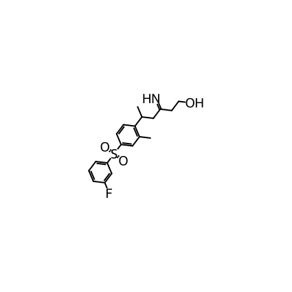 Cc1cc(S(=O)(=O)c2cccc(F)c2)ccc1C(C)CC(=N)CCO